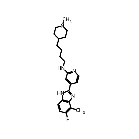 Cc1c(F)ccc2[nH]c(-c3ccnc(NCCCCC4CCN(C)CC4)c3)nc12